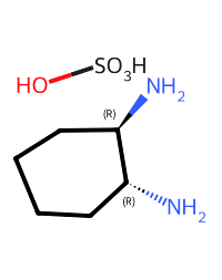 N[C@@H]1CCCC[C@H]1N.O=S(=O)(O)O